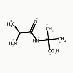 C[C@H](N)C(=O)NC(C)(C)C(=O)O